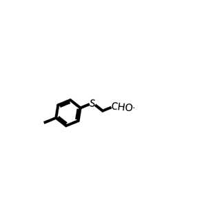 Cc1ccc(SC[C]=O)cc1